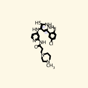 CN1CCCN(CCC(=O)Nc2cc(NC(/C=C(\N)c3cc(Cl)ccc3F)=C(/N)S)ccn2)CC1